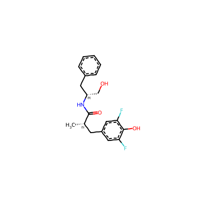 C[C@@H](Cc1cc(F)c(O)c(F)c1)C(=O)N[C@@H](CO)Cc1ccccc1